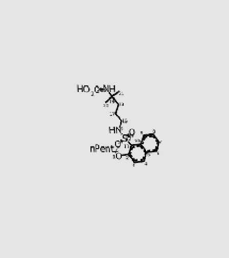 CCCCCOc1ccc2ccccc2c1S(=O)(=O)NCCCC(C)(C)NC(=O)O